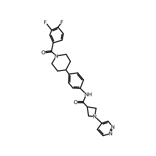 O=C(Nc1ccc(C2CCN(C(=O)c3ccc(F)c(F)c3)CC2)cc1)C1CN(c2ccnnc2)C1